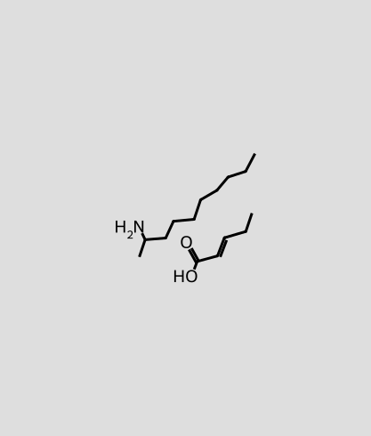 CCC=CC(=O)O.CCCCCCCCC(C)N